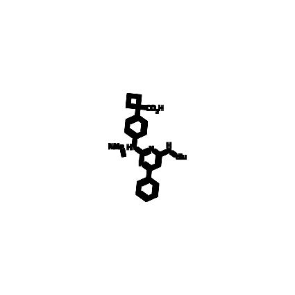 CC(C)(C)Nc1cc(-c2ccccc2)nc(Nc2ccc(C3(C(=O)O)CCC3)cc2)n1.CNC